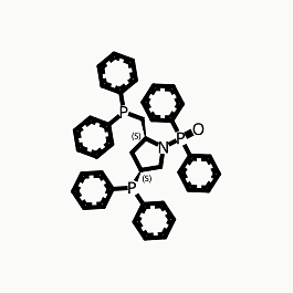 O=P(c1ccccc1)(c1ccccc1)N1C[C@@H](P(c2ccccc2)c2ccccc2)C[C@H]1CP(c1ccccc1)c1ccccc1